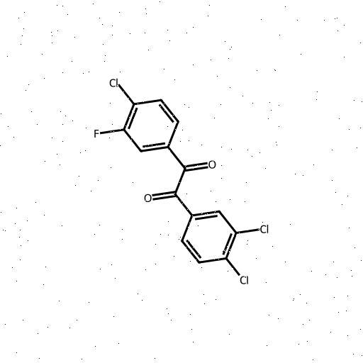 O=C(C(=O)c1ccc(Cl)c(Cl)c1)c1ccc(Cl)c(F)c1